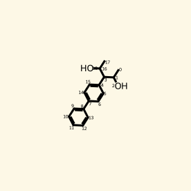 CC(O)C(c1ccc(-c2ccccc2)cc1)C(C)O